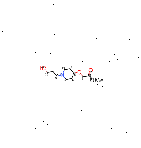 COC(=O)COC1CCN(CCCO)CC1